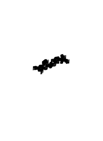 Cc1c(C#N)nn(C)c1-c1ccc(F)c(OC2CN(C(=O)N3N=CC[C@H]3c3cc(F)cc(C#N)c3)C2)n1